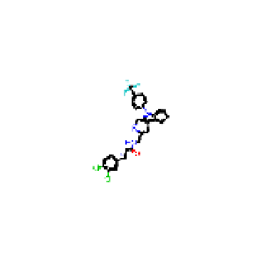 O=C(/C=C/c1ccc(Cl)c(Cl)c1)NCc1cc2c3ccccc3n(-c3ccc(C(F)(F)F)cc3)c2cn1